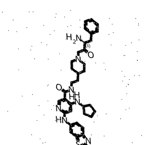 N[C@@H](Cc1ccccc1)C(=O)CN1CCC(CCNC(=O)c2cnc(Nc3ccc4ncsc4c3)cc2NC2CCCC2)CC1